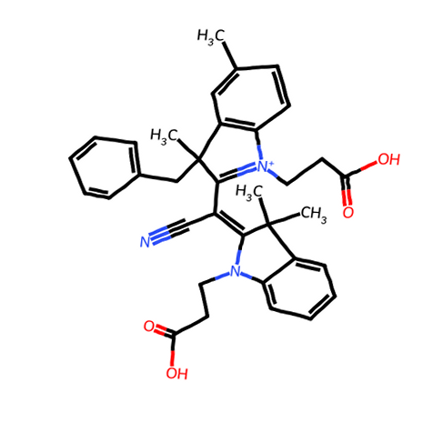 Cc1ccc2c(c1)C(C)(Cc1ccccc1)C(/C(C#N)=C1/N(CCC(=O)O)c3ccccc3C1(C)C)=[N+]2CCC(=O)O